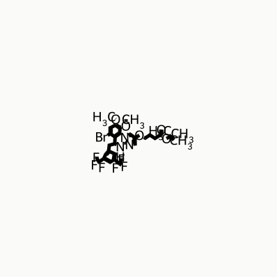 COc1cc(Br)c(C(Cc2cc(C(F)(F)F)cc(C(F)(F)F)c2)Nc2ncc(OCCCC(=O)OC(C)(C)C)cn2)cc1OC